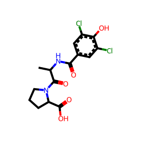 CC(NC(=O)c1cc(Cl)c(O)c(Cl)c1)C(=O)N1CCCC1C(=O)O